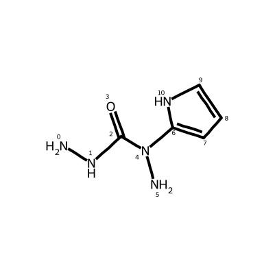 NNC(=O)N(N)c1ccc[nH]1